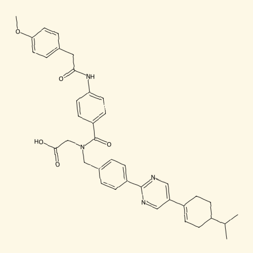 COc1ccc(CC(=O)Nc2ccc(C(=O)N(CC(=O)O)Cc3ccc(-c4ncc(C5=CCC(C(C)C)CC5)cn4)cc3)cc2)cc1